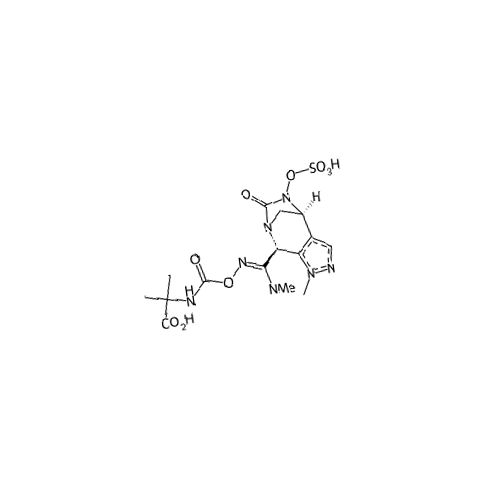 CN/C(=N\OC(=O)NC(C)(C)C(=O)O)[C@@H]1c2c(cnn2C)[C@H]2CN1C(=O)N2OS(=O)(=O)O